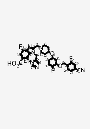 CCn1cncc1Cn1c(CN2CCC(Oc3ccc(F)c(OCc4ccc(C#N)cc4F)c3)CC2)nc2c(F)cc(C(=O)O)cc21